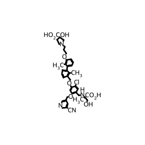 Cc1c(COc2cc(OCc3cncc(C#N)c3)c(CNC(C)(CO)C(=O)O)cc2Cl)cccc1-c1cccc(OCCCN2CCC(O)(C(=O)O)C2)c1C